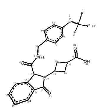 O=C(NCc1ccc(OC(F)(F)F)cc1)C1c2ccccc2C(=O)N1C1CN(C(=O)O)C1